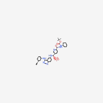 C#Cc1cccc(Nc2ncnc3ccc(NC(=O)c4ccc(C(=O)NN(C(=O)OC(C)(C)C)c5ccccc5)nc4)cc23)c1.O.O